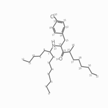 CCCCCCCC(CCCCC)NC(Cc1ccc(Cl)cc1)C(=O)C(C)CCCCCC